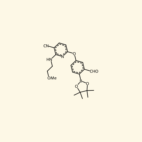 [C-]#[N+]c1ccc(Oc2ccc(B3OC(C)(C)C(C)(C)O3)c(C=O)c2)nc1NCCOC